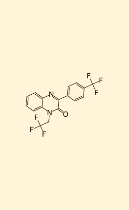 O=c1c(-c2ccc(C(F)(F)F)cc2)nc2ccccc2n1CC(F)(F)F